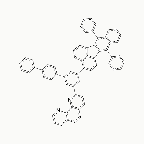 c1ccc(-c2ccc(-c3cc(-c4ccc5ccc6cccnc6c5n4)cc(-c4ccc5c6c(cccc46)-c4c-5c(-c5ccccc5)c5ccccc5c4-c4ccccc4)c3)cc2)cc1